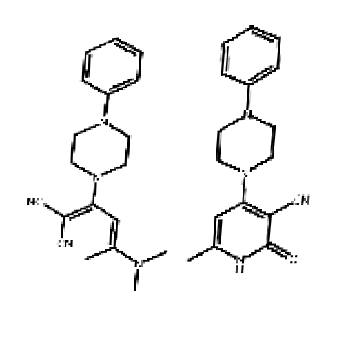 C/C(=C\C(=C(C#N)C#N)N1CCN(c2ccccc2)CC1)N(C)C.Cc1cc(N2CCN(c3ccccc3)CC2)c(C#N)c(=O)[nH]1